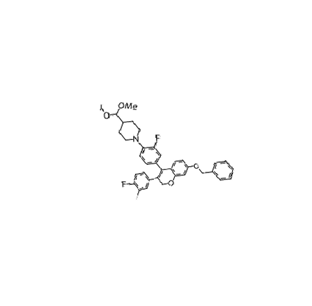 COC(OI)C1CCN(c2ccc(C3=C(c4ccc(F)c(C)c4)COc4cc(OCc5ccccc5)ccc43)cc2F)CC1